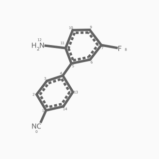 N#Cc1ccc(-c2cc(F)ccc2N)cc1